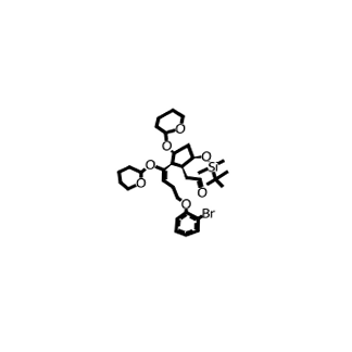 CC(C)(C)[Si](C)(C)O[C@@H]1C[C@H](OC2CCCCO2)[C@H](/C(=C\CCOc2ccccc2Br)OC2CCCCO2)[C@@H]1CC=O